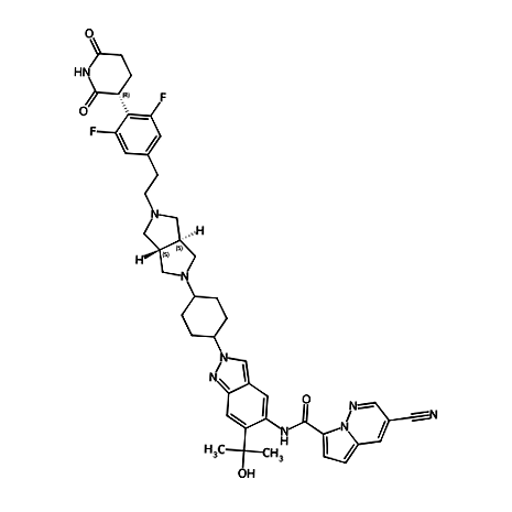 CC(C)(O)c1cc2nn(C3CCC(N4C[C@@H]5CN(CCc6cc(F)c([C@H]7CCC(=O)NC7=O)c(F)c6)C[C@H]5C4)CC3)cc2cc1NC(=O)c1ccc2cc(C#N)cnn12